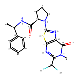 C[C@@H](NC(=O)[C@H]1CCCN1c1nc2c(=O)n(C)c(C(F)F)nc2s1)c1ccccc1